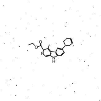 CCOC(=O)c1ncc2[nH]c3ccc(C4CC=CCC4)cc3c2c1C